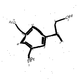 [CH2]C(CO)c1cc(CCC)cc(OC(C)=O)c1